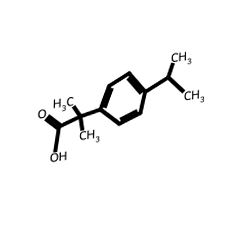 CC(C)c1ccc(C(C)(C)C(=O)O)cc1